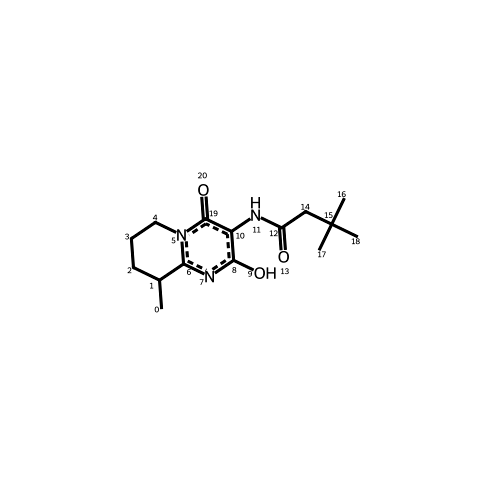 CC1CCCn2c1nc(O)c(NC(=O)CC(C)(C)C)c2=O